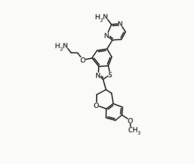 COc1ccc2c(c1)CC(c1nc3c(OCCN)cc(-c4ccnc(N)n4)cc3s1)CO2